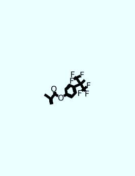 C=C(C)C(=O)Oc1ccc(C(C)(C(F)(F)F)C(F)(F)F)cc1